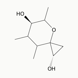 CC1OC2(C[C@@H]2O)C(C)C(C)[C@H]1O